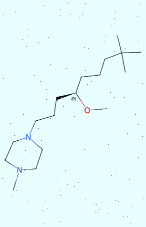 CO[C@@H](CCCN1CCN(C)CC1)CCCC(C)(C)C